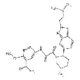 COc1ncc(NC(=O)C(=O)N2C[C@@H](C)CC[C@@H]2c2ccc3cn(CCN(C)C)nc3c2)cc1C(N)=O